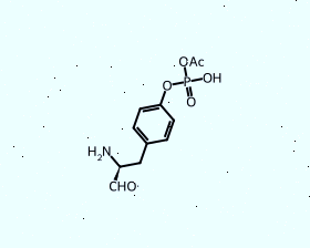 CC(=O)OP(=O)(O)Oc1ccc(C[C@H](N)[C]=O)cc1